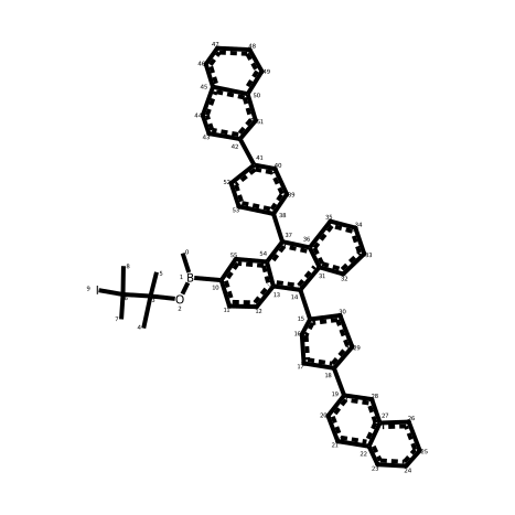 CB(OC(C)(C)C(C)(C)I)c1ccc2c(-c3ccc(-c4ccc5ccccc5c4)cc3)c3ccccc3c(-c3ccc(-c4ccc5ccccc5c4)cc3)c2c1